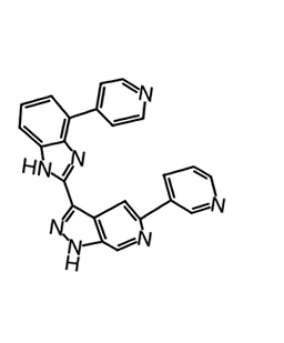 c1cncc(-c2cc3c(-c4nc5c(-c6ccncc6)cccc5[nH]4)n[nH]c3cn2)c1